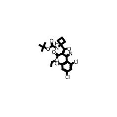 CCOC(=O)c1c(-c2c(Cl)cc(Cl)cc2Cl)noc1C1(NC(=O)OC(C)(C)C)CCC1